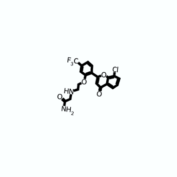 NC(=O)CNCCOc1cc(C(F)(F)F)ccc1-c1cc(=O)c2cccc(Cl)c2o1